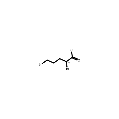 O=C(Cl)[C@@H](Br)CCCBr